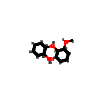 COc1ccccc1Oc1ccccc1O